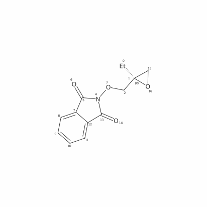 CC[C@]1(CON2C(=O)c3ccccc3C2=O)CO1